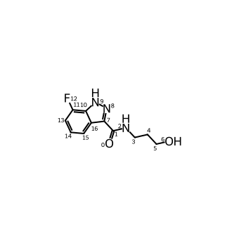 O=C(NCCCO)c1n[nH]c2c(F)cccc12